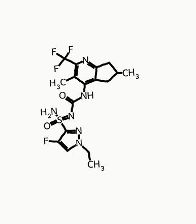 CCn1cc(F)c(S(N)(=O)=NC(=O)Nc2c(C)c(C(F)(F)F)nc3c2CC(C)C3)n1